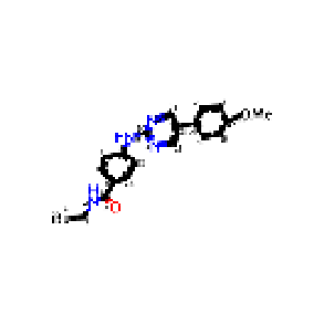 CCC(C)CNC(=O)c1ccc(Nc2ncc(-c3ccc(OC)cc3)cn2)cc1